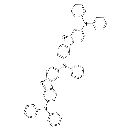 c1ccc(N(c2ccccc2)c2ccc3c(c2)sc2ccc(N(c4ccccc4)c4ccc5sc6cc(N(c7ccccc7)c7ccccc7)ccc6c5c4)cc23)cc1